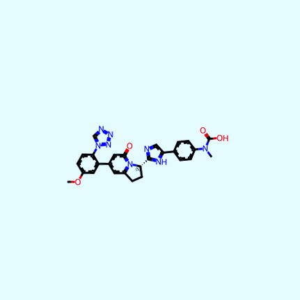 COc1ccc(-n2cnnn2)c(-c2cc3n(c(=O)c2)[C@H](c2ncc(-c4ccc(N(C)C(=O)O)cc4)[nH]2)CC3)c1